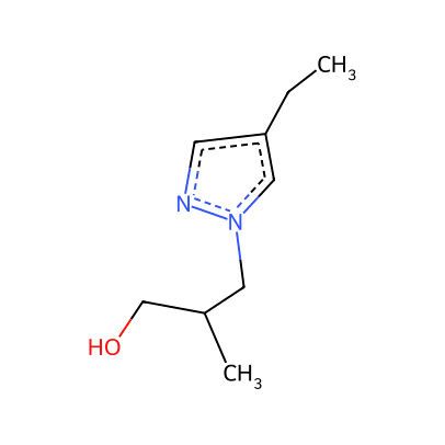 CCc1cnn(CC(C)CO)c1